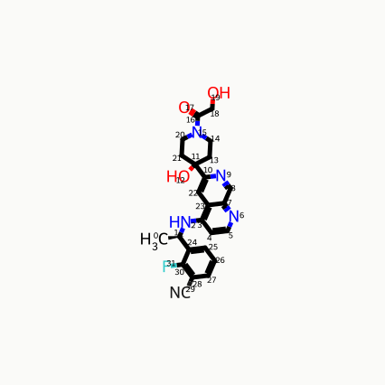 C[C@@H](Nc1ccnc2cnc(C3(O)CCN(C(=O)CO)CC3)cc12)c1cccc(C#N)c1F